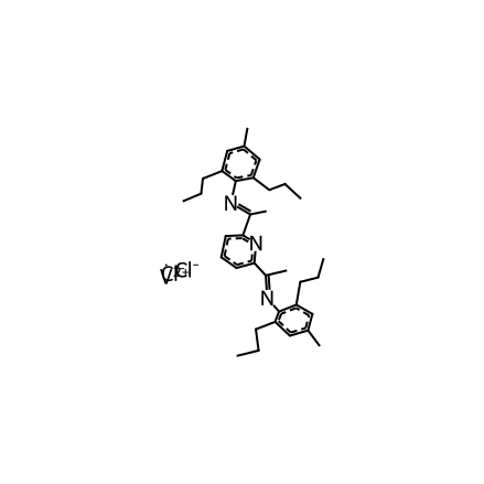 CCCc1cc(C)cc(CCC)c1N=C(C)c1cccc(C(C)=Nc2c(CCC)cc(C)cc2CCC)n1.[Cl-].[Cl-].[V+2]